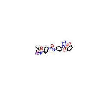 CC(C)(C)S(=O)(=O)Nc1ccc(C(=O)Nc2ccc(NS(=O)(=O)c3ccccc3)cc2)cc1